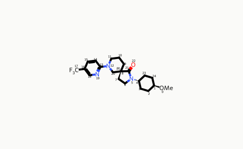 CO[C@H]1CC[C@H](N2CC[C@@]3(CCCN(c4ccc(C(F)(F)F)cn4)C3)C2=O)CC1